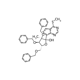 CSc1ncnc2c(C3(O)O[C@H](COCc4ccccc4)[C@@H](OCc4ccccc4)[C@@]3(C)OCc3ccccc3)scc12